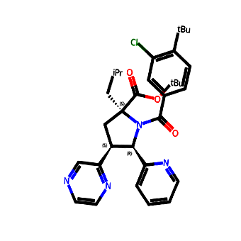 CC(C)C[C@@]1(C(=O)OC(C)(C)C)C[C@H](c2cnccn2)[C@H](c2ccccn2)N1C(=O)c1ccc(C(C)(C)C)c(Cl)c1